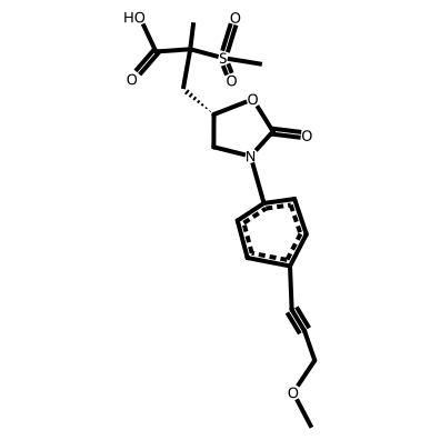 COCC#Cc1ccc(N2C[C@H](CC(C)(C(=O)O)S(C)(=O)=O)OC2=O)cc1